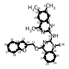 Cc1cc2nc(NC3N=C(OCc4cc5ccccc5o4)c4ccccc4N3I)nc(C)c2cc1C